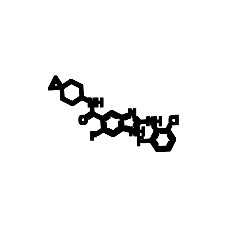 O=C(NC1CCC2(CC1)CC2)c1cc2nc(Nc3c(F)cccc3Cl)[nH]c2cc1F